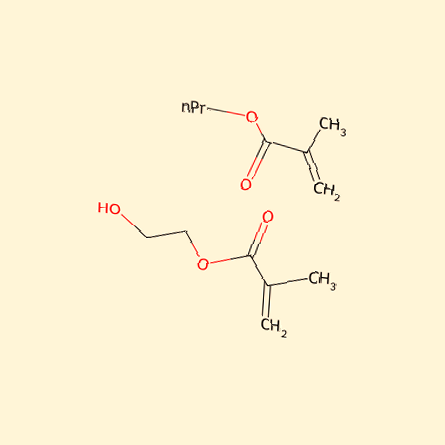 C=C(C)C(=O)OCCC.C=C(C)C(=O)OCCO